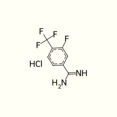 Cl.N=C(N)c1ccc(C(F)(F)F)c(F)c1